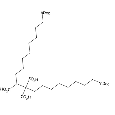 CCCCCCCCCCCCCCCCCCC(C(=O)O)C(CCCCCCCCCCCCCCCCCC)(C(=O)O)S(=O)(=O)O